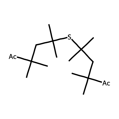 CC(=O)C(C)(C)CC(C)(C)SC(C)(C)CC(C)(C)C(C)=O